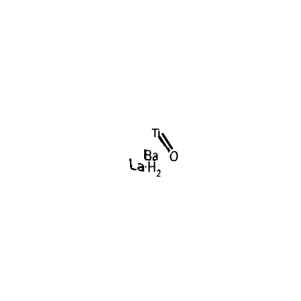 [BaH2].[La].[O]=[Ti]